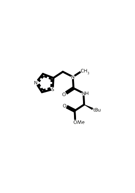 COC(=O)[C@@H](NC(=O)N(C)Cc1cncs1)C(C)(C)C